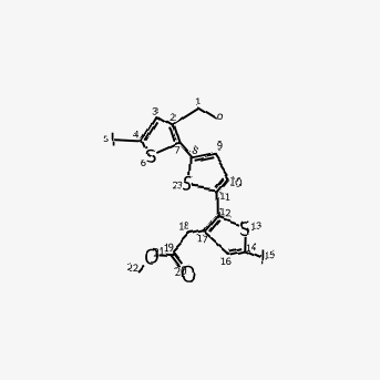 CCc1cc(I)sc1-c1ccc(-c2sc(I)cc2CC(=O)OC)s1